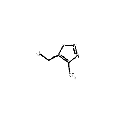 FC(F)(F)c1nnsc1CCl